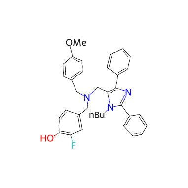 CCCCn1c(-c2ccccc2)nc(-c2ccccc2)c1CN(Cc1ccc(OC)cc1)Cc1ccc(O)c(F)c1